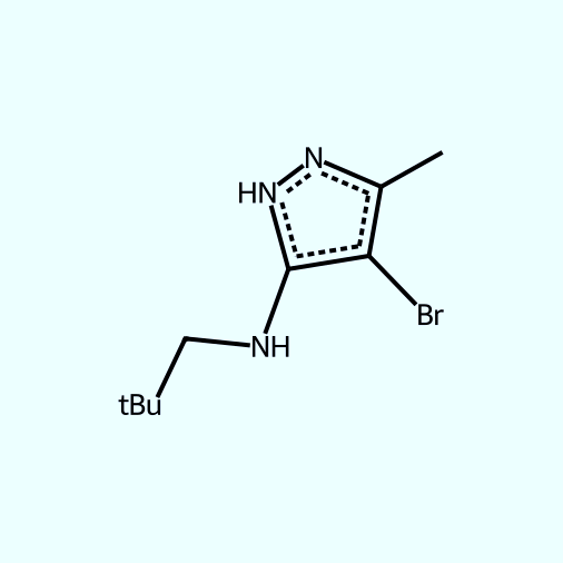 Cc1n[nH]c(NCC(C)(C)C)c1Br